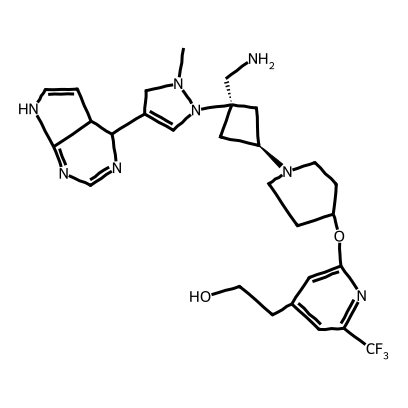 CN1CC(C2N=CN=C3NC=CC32)=CN1[C@]1(CN)C[C@H](N2CCC(Oc3cc(CCO)cc(C(F)(F)F)n3)CC2)C1